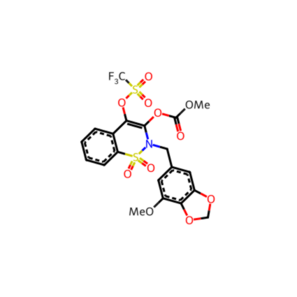 COC(=O)OC1=C(OS(=O)(=O)C(F)(F)F)c2ccccc2S(=O)(=O)N1Cc1cc(OC)c2c(c1)OCO2